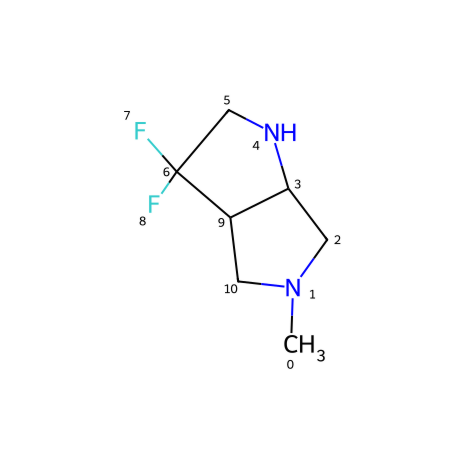 CN1CC2NCC(F)(F)C2C1